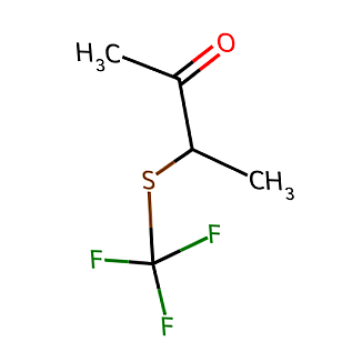 CC(=O)C(C)SC(F)(F)F